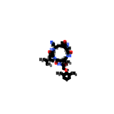 Cc1cccc(C)c1OCC(=O)N[C@@H]1C(=O)N2C[C@H](C(C)C)C[C@H]2C(=O)N[C@H](C#N)C[C@H]2C[C@H](NC2=O)C(=O)NCC1(C)C